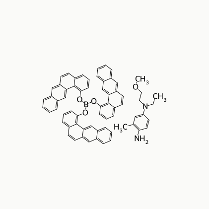 CCN(CCOC)c1ccc(N)c(C)c1.c1ccc2cc3c(ccc4cccc(OB(Oc5cccc6ccc7cc8ccccc8cc7c56)Oc5cccc6ccc7cc8ccccc8cc7c56)c43)cc2c1